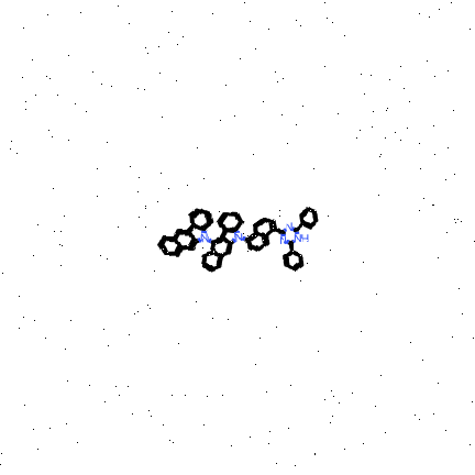 C1=CCC2C(=C1)C=c1c(c3c(n1-c1cccc4c(C5=NC(C6C=CC=CC6)NC(c6ccccc6)=N5)cccc14)CCC=C3)=C2N1c2cc3ccccc3cc2C2C=CC=CC21